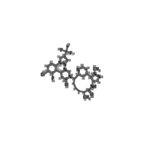 CC1CCCC(n2cnc(-c3c(-n4cc(C(F)(F)F)cn4)ccc(Cl)c3F)cc2=O)c2cc(ccn2)-c2c(cnn2C)NC1=O